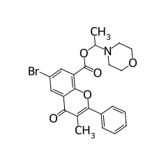 Cc1c(-c2ccccc2)oc2c(C(=O)OC(C)N3CCOCC3)cc(Br)cc2c1=O